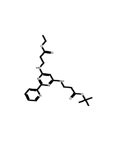 CCOC(=O)CCNc1cc(NCCC(=O)OC(C)(C)C)nc(-c2ccccn2)n1